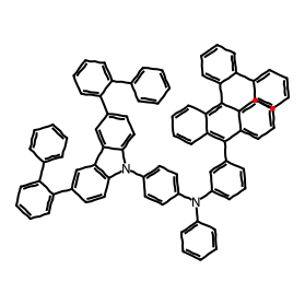 c1ccc(-c2ccccc2-c2ccc3c(c2)c2cc(-c4ccccc4-c4ccccc4)ccc2n3-c2ccc(N(c3ccccc3)c3cccc(-c4c5ccccc5c(-c5ccccc5-c5ccccc5)c5ccccc45)c3)cc2)cc1